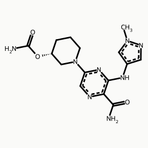 Cn1cc(Nc2nc(N3CCC[C@@H](OC(N)=O)C3)cnc2C(N)=O)cn1